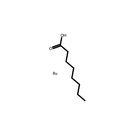 CCCCCCCC(=O)O.[Ru]